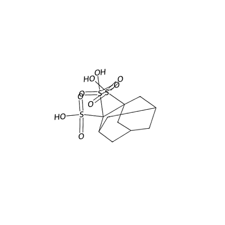 O=S(=O)(O)C12CC3CC(CC(C3)C1(S(=O)(=O)O)S(=O)(=O)O)C2